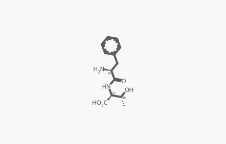 C[C@@H](O)[C@H](NC(=O)[C@@H](N)Cc1ccccc1)C(=O)O